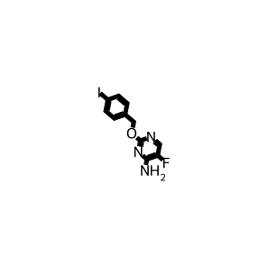 Nc1nc(OCc2ccc(I)cc2)ncc1F